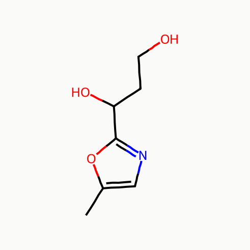 Cc1cnc(C(O)CCO)o1